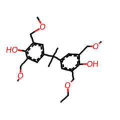 CCOCc1cc(C(C)(C)c2cc(COC)c(O)c(COC)c2)cc(COC)c1O